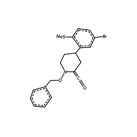 CSc1ccc(Br)cc1C1CCN(OCc2ccccc2)C(=C=O)C1